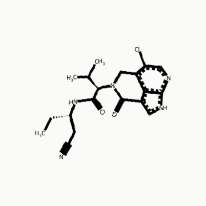 CC[C@@H](CC#N)NC(=O)[C@@H](C(C)C)N1Cc2c(Cl)cnc3[nH]cc(c23)C1=O